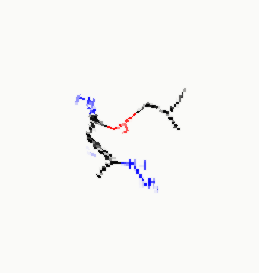 C/C(=C/C(=N)OCC(C)C)NN